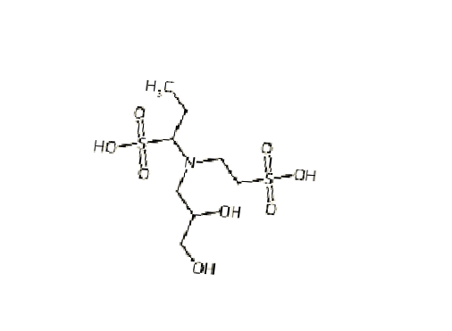 CCC(N(CCS(=O)(=O)O)CC(O)CO)S(=O)(=O)O